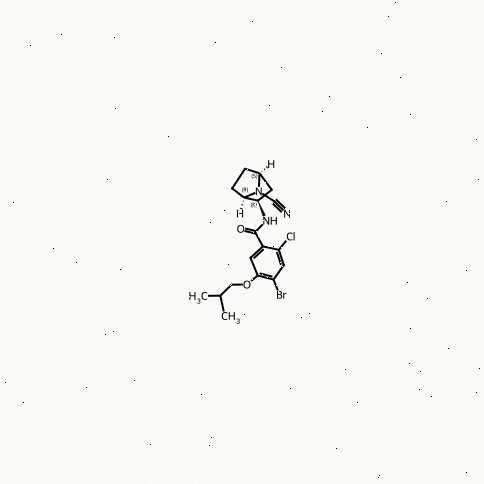 CC(C)COc1cc(C(=O)N[C@@H]2C[C@@H]3CC[C@H]2N3C#N)c(Cl)cc1Br